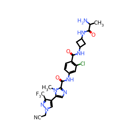 CC(N)C(=O)NC1CC(NC(=O)c2ccc(NC(=O)c3ncc(-c4cn(CC#N)nc4C(F)(F)F)n3C)cc2Cl)C1